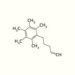 [CH]=CCCCc1c(C)c(C)c(C)c(C)c1C